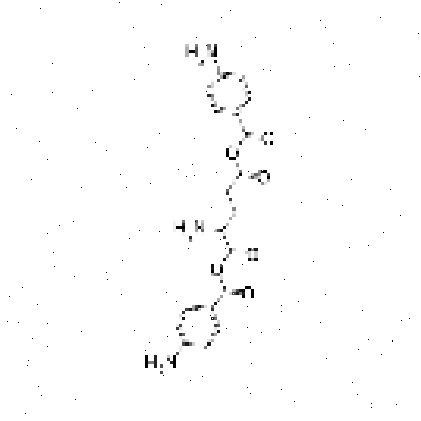 Nc1ccc(C(=O)OC(=O)CCC(N)C(=O)OC(=O)c2ccc(N)cc2)cc1